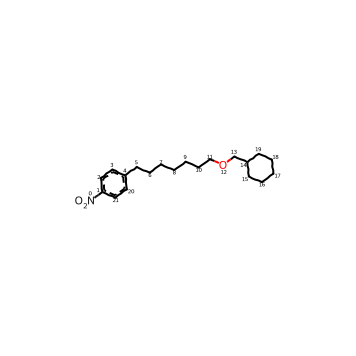 O=[N+]([O-])c1ccc(CCCCCCCOCC2CCCCC2)cc1